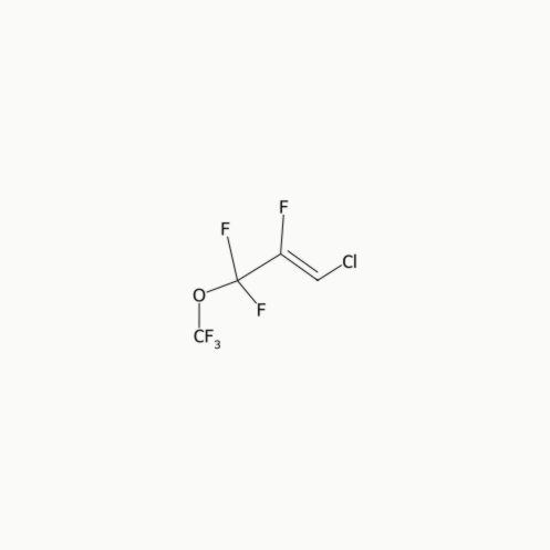 FC(=CCl)C(F)(F)OC(F)(F)F